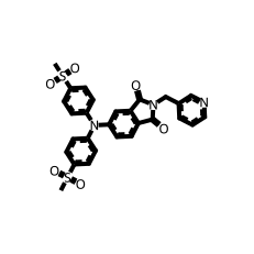 CS(=O)(=O)c1ccc(N(c2ccc(S(C)(=O)=O)cc2)c2ccc3c(c2)C(=O)N(Cc2cccnc2)C3=O)cc1